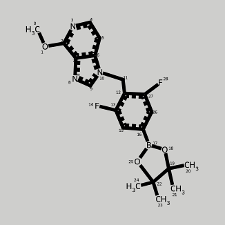 COc1nccc2c1ncn2Cc1c(F)cc(B2OC(C)(C)C(C)(C)O2)cc1F